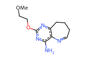 COCCOc1nc(N)c2c(n1)CCCC=N2